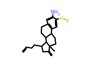 C=CCCC1CC(=C)C2(C)CCC3c4cc(SF)c(N)cc4CCC3C12